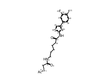 CC(=O)SCC(=O)NCCCCCC(=O)Nc1nc(-c2ccc(F)c(F)c2)cs1